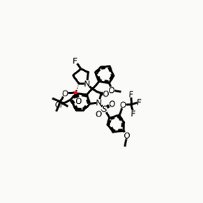 COc1ccc(S(=O)(=O)N2C(=O)C(c3ccccc3OC)(N3CC(F)C[C@H]3C(=O)OC(C)(C)C)c3cc(Cl)ccc32)c(OC(F)(F)F)c1